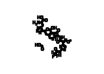 CON=C(C(=O)NC1C(=O)N2C(C(=O)O)=C(CSc3nnnn3CC(N)C(=O)O)CS[C@@H]12)c1csc(NC(=O)C(F)(F)F)n1.O=CO